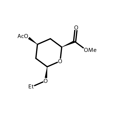 CCO[C@H]1C[C@@H](OC(C)=O)C[C@@H](C(=O)OC)O1